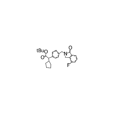 CC(C)(C)OC(=O)C(c1ccc(CN2Cc3c(F)cccc3C2=O)cc1)C1CCCC1